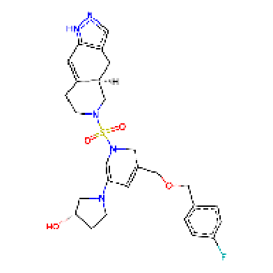 O=S(=O)(N1C=C(N2CC[C@H](O)C2)C=C(COCc2ccc(F)cc2)C1)N1CCC2=Cc3[nH]ncc3C[C@H]2C1